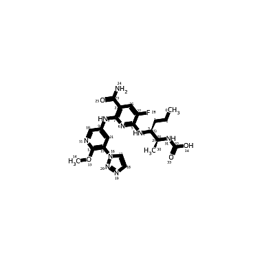 CCC[C@H](Nc1nc(Nc2cnc(OC)c(-n3ccnn3)c2)c(C(N)=O)cc1F)[C@H](C)NC(=O)O